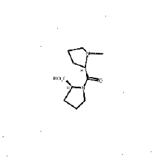 CN1CCC[C@@H]1C(=O)N1CCC[C@H]1C(=O)O